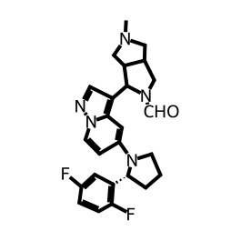 CN1CC2CN(C=O)C(c3cnn4ccc(N5CCC[C@@H]5c5cc(F)ccc5F)cc34)C2C1